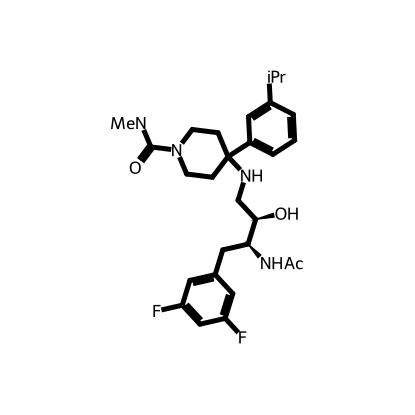 CNC(=O)N1CCC(NC[C@@H](O)[C@H](Cc2cc(F)cc(F)c2)NC(C)=O)(c2cccc(C(C)C)c2)CC1